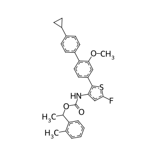 COc1cc(-c2sc(F)cc2NC(=O)OC(C)c2ccccc2C)ccc1-c1ccc(C2CC2)cc1